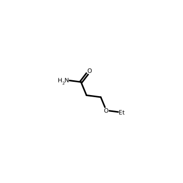 [CH2]COCCC(N)=O